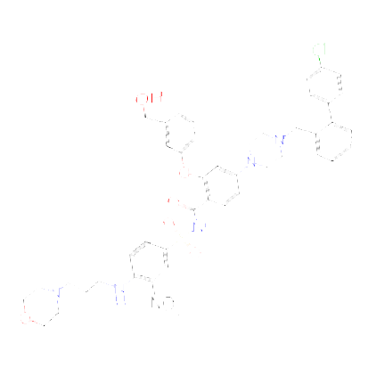 O=C(NS(=O)(=O)c1ccc(NCCCN2CCOCC2)c([N+](=O)[O-])c1)c1ccc(N2CCN(Cc3ccccc3-c3ccc(Cl)cc3)CC2)cc1Oc1cccc(CO)c1